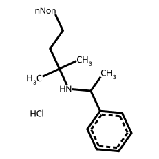 CCCCCCCCCCCC(C)(C)NC(C)c1ccccc1.Cl